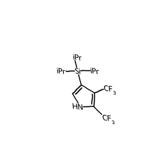 CC(C)[Si](c1c[nH]c(C(F)(F)F)c1C(F)(F)F)(C(C)C)C(C)C